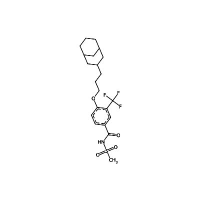 CS(=O)(=O)NC(=O)c1ccc(OCCCC2CC3CCCC(C2)C3)c(C(F)(F)F)c1